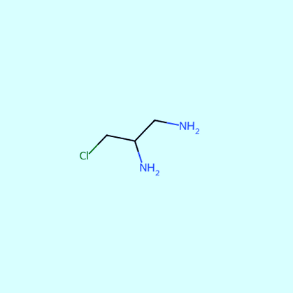 NCC(N)CCl